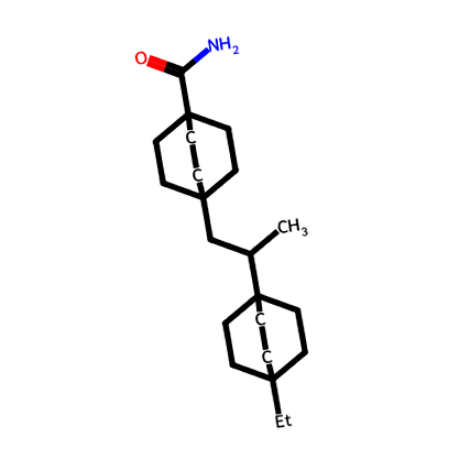 CCC12CCC(C(C)CC34CCC(C(N)=O)(CC3)CC4)(CC1)CC2